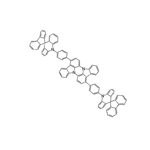 c1ccc2c(c1)-c1ccccc1C21c2ccccc2N(c2ccc(-c3ccc4c5c3c3ccccc3n5c3ccc(-c5ccc(N6c7ccccc7C7(c8ccccc8-c8ccccc87)c7ccccc76)cc5)c5c6ccccc6n4c53)cc2)c2ccccc21